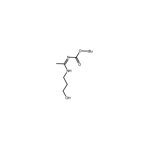 C/C(=N/C(=O)OC(C)(C)C)NCCCO